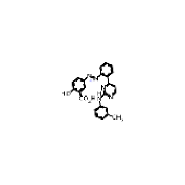 Cc1cccc(Nc2nccc(-c3ccccc3/N=N/c3ccc(O)c(C(=O)O)c3)n2)c1